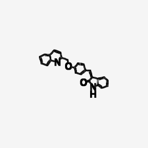 O=C1Nc2ccccc2C1=Cc1ccc(OCc2ccc3ccccc3n2)cc1